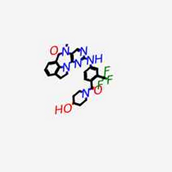 CN1C(=O)c2cccc3c2N(CC3)c2nc(Nc3ccc(C(=O)N4CCC(O)CC4)c(C(F)(F)F)c3)ncc21